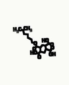 CC(C)CCCCCOC(=O)C1CC(C(=O)O)C(C(=O)O)CC1C(=O)O